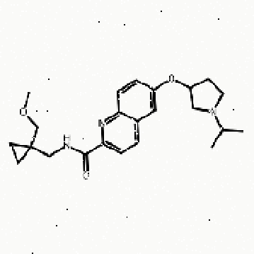 COCC1(CNC(=O)c2ccc3cc(OC4CCN(C(C)C)C4)ccc3n2)CC1